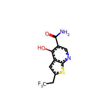 NC(=O)c1cnc2sc(CC(F)(F)F)cc2c1O